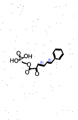 O=C(/C=C/C=C/c1ccccc1)C(=O)OCP(=O)(O)O